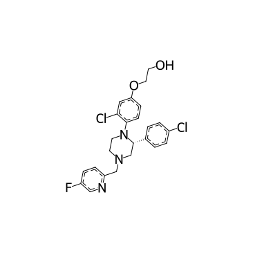 OCCOc1ccc(N2CCN(Cc3ccc(F)cn3)C[C@H]2c2ccc(Cl)cc2)c(Cl)c1